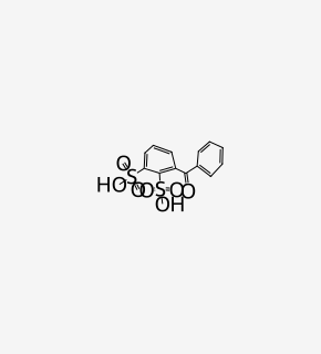 O=C(c1ccccc1)c1cccc(S(=O)(=O)O)c1S(=O)(=O)O